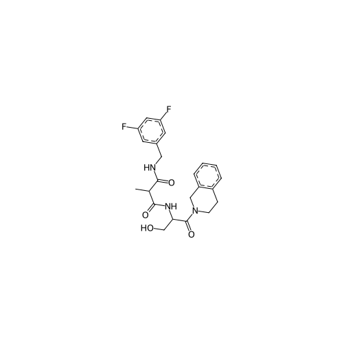 CC(C(=O)NCc1cc(F)cc(F)c1)C(=O)NC(CO)C(=O)N1CCc2ccccc2C1